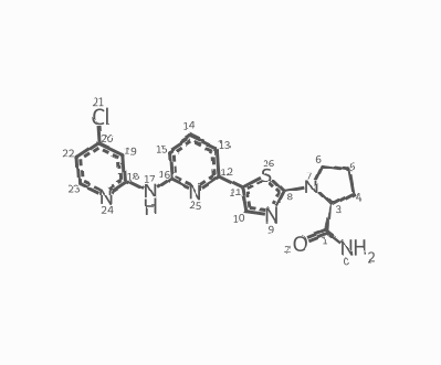 NC(=O)[C@@H]1CCCN1c1ncc(-c2cccc(Nc3cc(Cl)ccn3)n2)s1